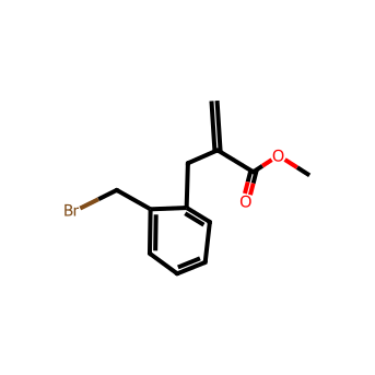 C=C(Cc1ccccc1CBr)C(=O)OC